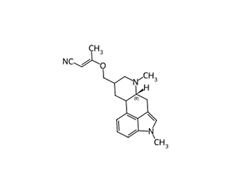 CC(=CC#N)OCC1CC2c3cccc4c3c(cn4C)C[C@H]2N(C)C1